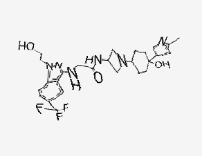 Cc1ccc(C2(O)CCC(N3CC(NC(=O)CNc4nn(CCO)c5ccc(C(F)(F)F)cc45)C3)CC2)cn1